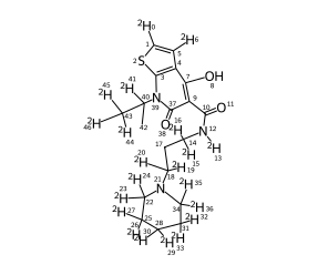 [2H]c1sc2c(c1[2H])c(O)c(C(=O)N([2H])C([2H])([2H])CC([2H])([2H])N1C([2H])([2H])C([2H])([2H])C([2H])([2H])C([2H])([2H])C1([2H])[2H])c(=O)n2C([2H])(C)C([2H])([2H])[2H]